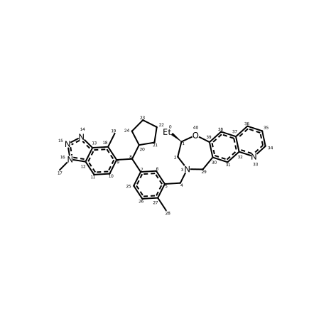 CC[C@@H]1CN(Cc2cc(C(c3ccc4c(nnn4C)c3C)C3CCCC3)ccc2C)Cc2cc3ncccc3cc2O1